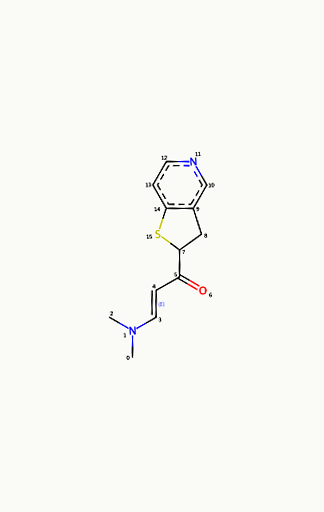 CN(C)/C=C/C(=O)C1Cc2cnccc2S1